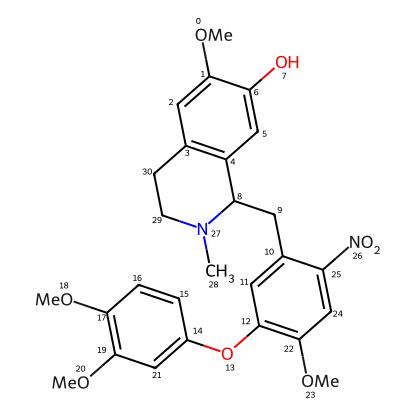 COc1cc2c(cc1O)C(Cc1cc(Oc3ccc(OC)c(OC)c3)c(OC)cc1[N+](=O)[O-])N(C)CC2